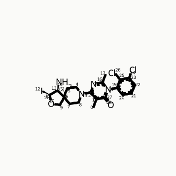 Cc1c(N2CCC3(CC2)CO[C@@H](I)[C@H]3N)nc(C)n(-c2cccc(Cl)c2Cl)c1=O